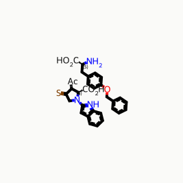 CC(=O)C1C(=S)CN(c2cc3ccccc3[nH]2)[C@@H]1C(=O)O.N[C@@H](Cc1ccc(OCc2ccccc2)cc1)C(=O)O